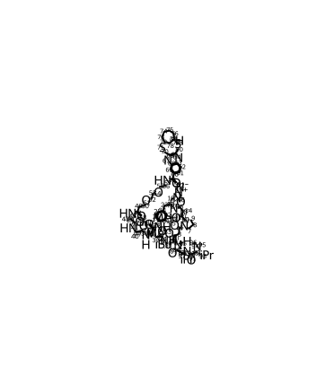 CC[C@H](C)[C@@H]([C@@H](CC(=O)N1CCC[C@H]1[C@H](OC)[C@@H](C)C(=O)N[C@H](CN=[N+]=[N-])Cc1ccc(NC(=O)[C@H](CC(N)=O)NC(=O)[C@H](C)NC(=O)[C@H](C)NC(=O)CCOCCOCCNC(=O)c2ccc3nc4c(nc3c2)CSC2CCCC[C@H](C2)SC4)cc1)OC)N(C)C(=O)[C@@H](NC(=O)[C@H](C(C)C)N(C)C)C(C)C